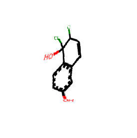 Oc1ccc2c(c1)C=CC(Cl)C2(O)Cl